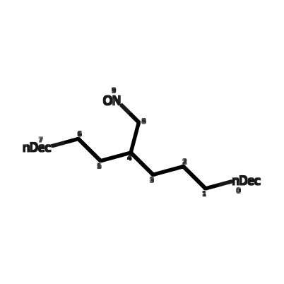 CCCCCCCCCCCCCC(CCCCCCCCCCCC)CN=O